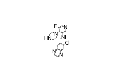 Fc1cncc(NCc2cc3nccnc3cc2Cl)c1N1CCNCC1